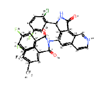 O=C1NC(c2cc(F)ccc2Cl)c2c(N(C(=O)c3cc(F)cc(C(F)(F)F)c3)C(=O)c3cc(F)cc(C(F)(F)F)c3)cc3ccncc3c21